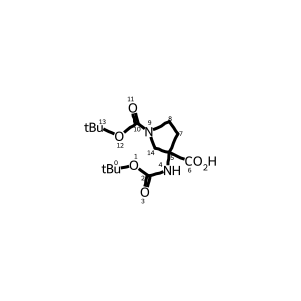 CC(C)(C)OC(=O)NC1(C(=O)O)CCN(C(=O)OC(C)(C)C)C1